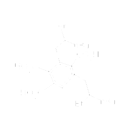 CCCCC(CC)Cc1cc(C(=O)O)c(C(=O)O)c(CC(CC)CCCC)c1C(=O)O